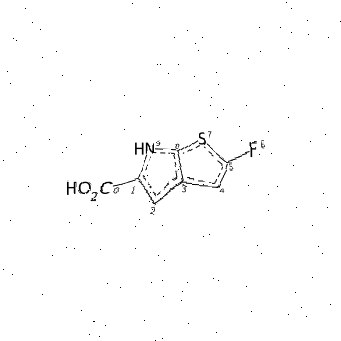 O=C(O)c1cc2cc(F)sc2[nH]1